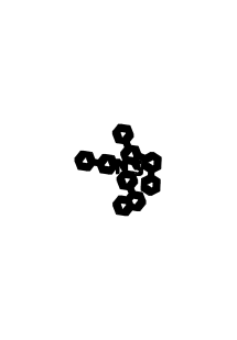 c1ccc(-c2ccc(N(c3ccc(-c4cccc5ccccc45)cc3)c3cc(-c4ccccc4)cc4c3sc3c(-c5ccccc5)cccc34)cc2)cc1